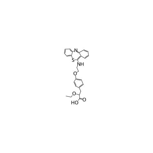 CCOC(Cc1ccc(OCCNC2=c3ccccc3=Nc3ccccc3S2)cc1)C(=O)O